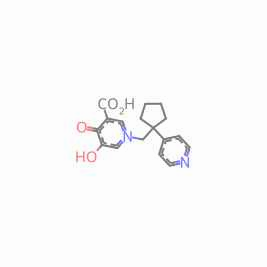 O=C(O)c1cn(CC2(c3ccncc3)CCCC2)cc(O)c1=O